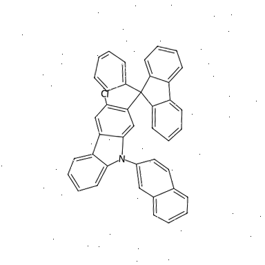 Clc1cc2c3ccccc3n(-c3ccc4ccccc4c3)c2cc1C1(c2ccccc2)c2ccccc2-c2ccccc21